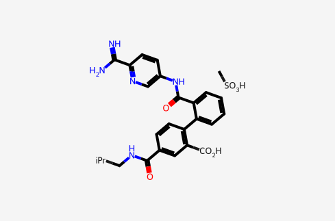 CC(C)CNC(=O)c1ccc(-c2ccccc2C(=O)Nc2ccc(C(=N)N)nc2)c(C(=O)O)c1.CS(=O)(=O)O